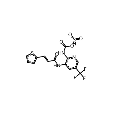 O=C(C=Cc1cccs1)Nc1cc(C(F)(F)F)cnc1NC(=O)O[SH](=O)=O